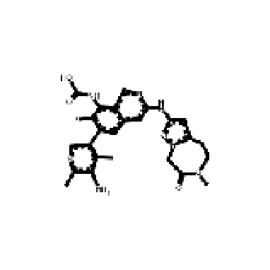 Cc1ncc(-c2cc3cc(Nc4cc5n(n4)CC(=O)N(C)CC5)ncc3c(NC(=O)O)c2F)c(C)c1N